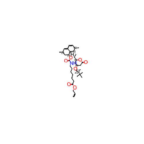 C=CCOC(=O)CCCCCCNC(=O)O[C@H]1C[C@@H](C)C=C2C=C[C@@H](C)[C@H](CC[C@@H]3C[C@@H](O[Si](C)(C)C(C)(C)C)CC(=O)O3)[C@H]21